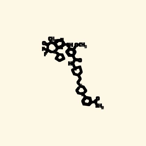 COc1cc(C(=O)NN2CCC(CCN3CCN(c4cccc(C(N)=O)c4)CC3)CC2)ccc1Nc1ncc2c(n1)N(C1CCCC1)CC(F)(F)C(=O)N2C